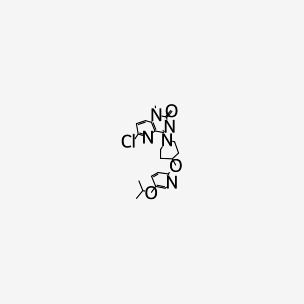 CC(C)Oc1ccc(OC2CCN(c3nc(=O)n(C)c4ccc(Cl)nc34)CC2)nc1